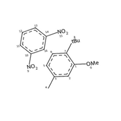 COc1cc(C)ccc1C(C)(C)C.O=[N+]([O-])c1cccc([N+](=O)[O-])c1